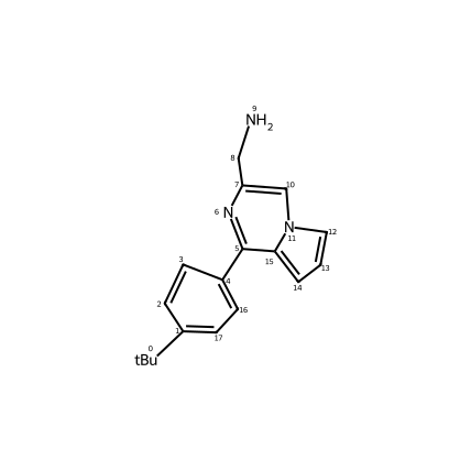 CC(C)(C)c1ccc(-c2nc(CN)cn3cccc23)cc1